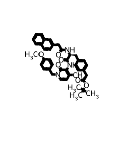 COc1ccc(Cn2ccc(C)c(NC(=O)[C@H](Cc3ccc(CC(=O)OC(C)(C)C)cc3)NC(=O)Cc3ccc4ccccc4c3)c2=O)cc1